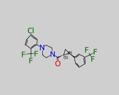 O=C([C@H]1C[C@H]1c1cccc(C(F)(F)F)c1)N1CCN(c2cc(Cl)ccc2C(F)(F)F)CC1